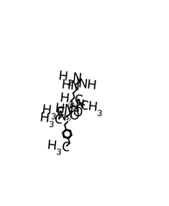 CCc1ccc(CC[C@@H](C(=O)N[C@@H](CCCCNC(=N)N)C(=O)N(C)C)N(C)C)cc1